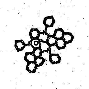 O=P12c3c4cccc3N(c3ccccc3)c3c1c(c1ccc5cccc6ccc3c1c65)N(c1ccccc1)c1c2c(c2ccc3cccc5ccc1c2c35)N4c1ccccc1